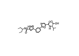 CCC(CC)NC(=O)c1cc(-c2cccc(-c3ncc(C(=O)NC(C(=O)O)C(C)C)o3)c2)n[nH]1